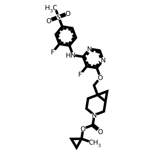 CC1(OC(=O)N2CCC3(COc4ncnc(Nc5ccc(S(C)(=O)=O)cc5F)c4F)CC3C2)CC1